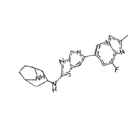 Cc1cn2cc(-c3cc4sc(NC5CC6CCC(C5)N6)nc4cn3)cc(F)c2n1